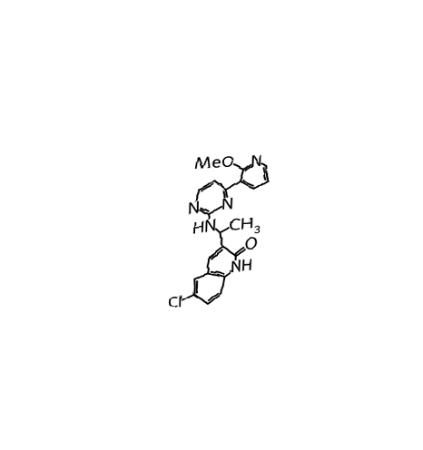 COc1ncccc1-c1ccnc(NC(C)c2cc3cc(Cl)ccc3[nH]c2=O)n1